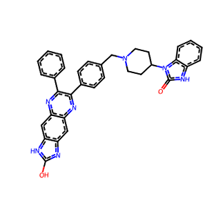 O=c1[nH]c2ccccc2n1C1CCN(Cc2ccc(-c3nc4cc5nc(O)[nH]c5cc4nc3-c3ccccc3)cc2)CC1